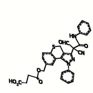 N#CC(C=O)(C(=O)Nc1ccccc1)c1nn(-c2ccccc2)c2c1CSc1ccc(COC(=O)CCC(=O)O)cc1-2